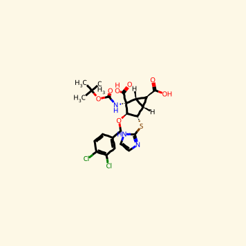 CC(C)(C)OC(=O)N[C@]1(C(=O)O)[C@@H]2[C@@H](C(=O)O)[C@@H]2[C@H](Sc2ncc[nH]2)[C@H]1OCc1ccc(Cl)c(Cl)c1